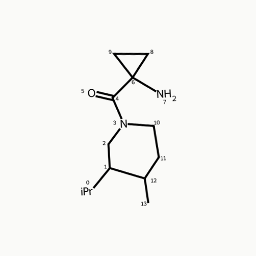 CC(C)C1CN(C(=O)C2(N)CC2)CCC1C